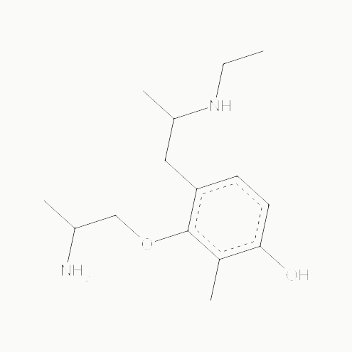 CCNC(C)[CH]c1ccc(O)c(C)c1OCC(C)N